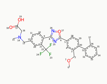 COCc1cc(-c2nc(-c3ccc(CN(C)CC(=O)O)cc3C(F)(F)F)no2)ccc1-c1ccccc1C